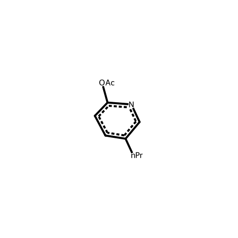 CCCc1ccc(OC(C)=O)nc1